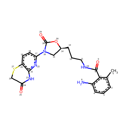 Cc1cccc(N)c1C(=O)NCCC[C@H]1CN(c2ccc3c(n2)NC(=O)CS3)C(=O)O1